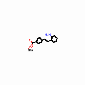 CC(C)(C)OOC(=O)c1ccc(C=Cc2ccccc2N)cc1